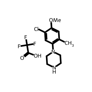 COc1cc(C)c(N2CCNCC2)cc1Cl.O=C(O)C(F)(F)F